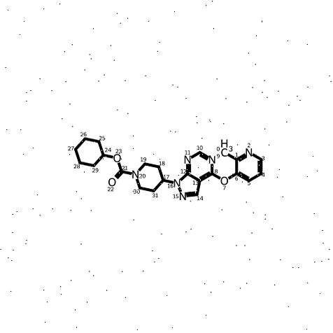 Cc1ncccc1Oc1ncnc2c1cnn2C1CCN(C(=O)OC2CCCCC2)CC1